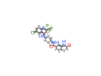 O=C1CCc2ccc(C(=O)NC3CCC(Nc4cc(C(F)(F)F)nc5ccc(Cl)cc45)CC3)cc2N1